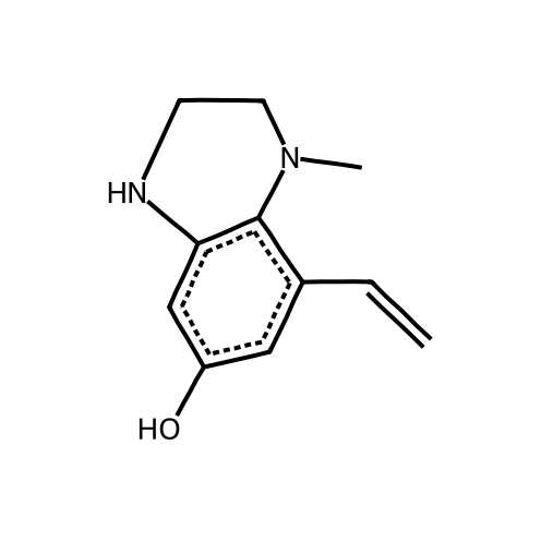 C=Cc1cc(O)cc2c1N(C)CCN2